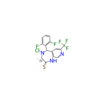 C[C@H]1C(=S)Nc2cnc(C(F)(F)F)cc2C(c2c(F)cccc2F)N1Cl